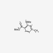 CNc1nc(C)ccc1C(=O)OC